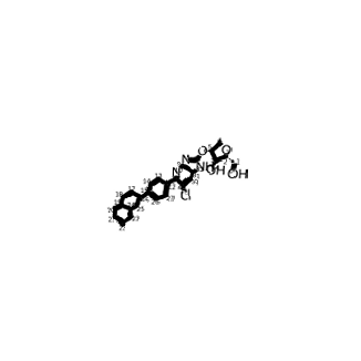 OC[C@H]1OC[C@@H](Oc2nc3nc(-c4ccc(-c5ccc6ccccc6c5)cc4)c(Cl)cc3[nH]2)[C@@H]1O